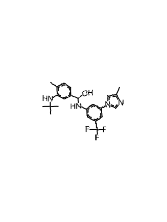 Cc1cn(-c2cc(NC(O)c3ccc(C)c(NC(C)(C)C)c3)cc(C(F)(F)F)c2)cn1